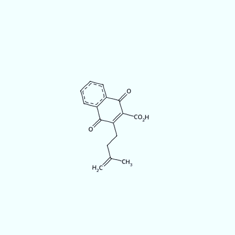 C=C(C)CCC1=C(C(=O)O)C(=O)c2ccccc2C1=O